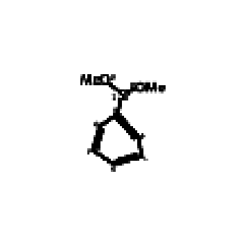 CO[Si](OC)c1ccccc1